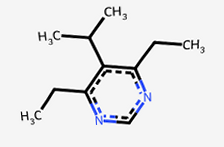 CCc1ncnc(CC)c1C(C)C